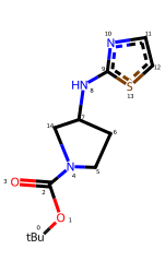 CC(C)(C)OC(=O)N1CCC(Nc2nccs2)C1